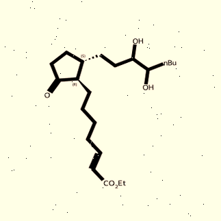 CCCCC(O)C(O)CC[C@H]1CCC(=O)[C@@H]1CCCCC=CC(=O)OCC